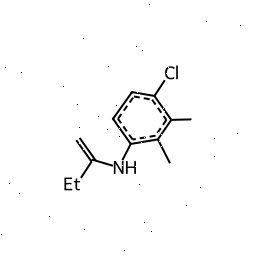 C=C(CC)Nc1ccc(Cl)c(C)c1C